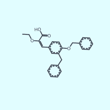 CCO/C(=C/c1ccc(OCc2ccccc2)c(Cc2ccccc2)c1)C(=O)O